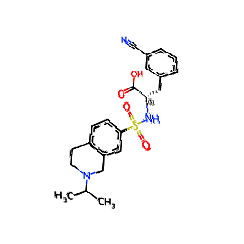 CC(C)N1CCc2ccc(S(=O)(=O)N[C@@H](Cc3cccc(C#N)c3)C(=O)O)cc2C1